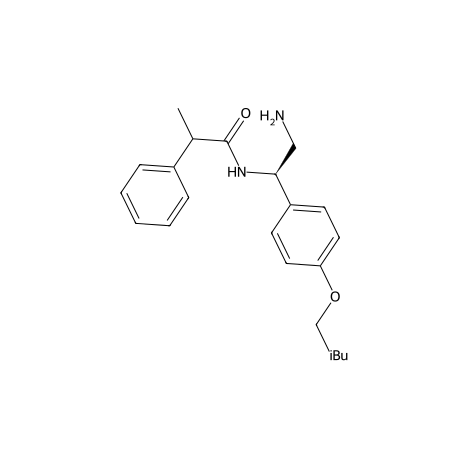 CCC(C)COc1ccc([C@H](CN)NC(=O)C(C)c2ccccc2)cc1